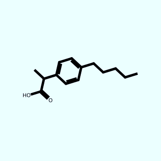 CCCCCc1ccc(C(C)C(=O)O)cc1